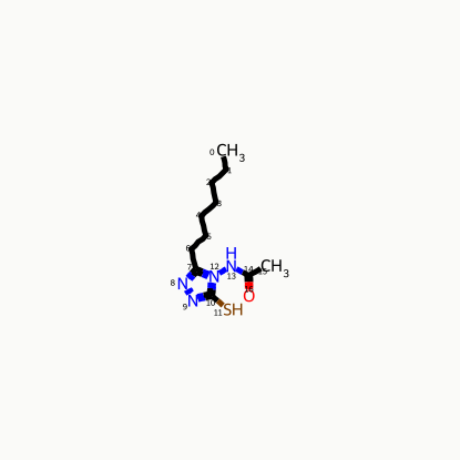 CCCCCCCc1nnc(S)n1NC(C)=O